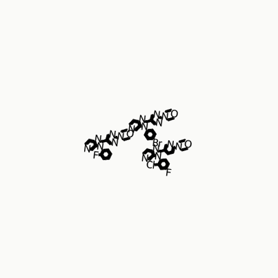 Brc1ccc(-n2c(-c3cnc(N4CCOCC4)nc3)nc3ccncc32)cc1.Fc1ccc(-n2c(-c3ccc(N4CCOCC4)nc3)nc3ccncc32)c(Cl)c1.Fc1ccccc1-n1c(-c2cnc(N3CCOCC3)nc2)nc2ccncc21